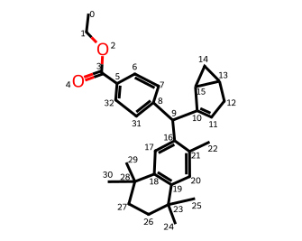 CCOC(=O)c1ccc(C(C2=CCC3CC23)c2cc3c(cc2C)C(C)(C)CCC3(C)C)cc1